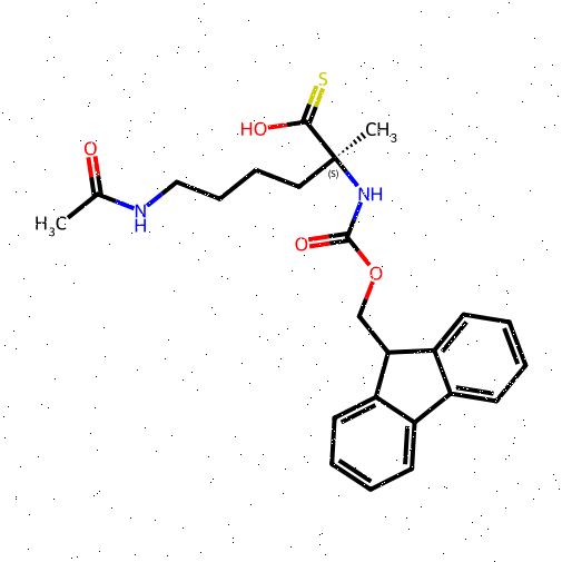 CC(=O)NCCCC[C@](C)(NC(=O)OCC1c2ccccc2-c2ccccc21)C(O)=S